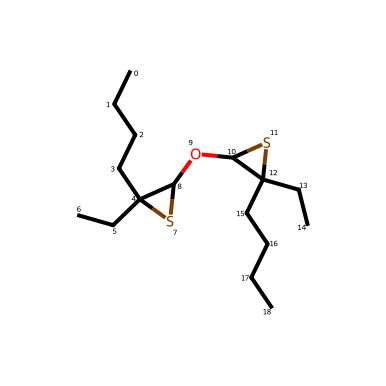 CCCCC1(CC)SC1OC1SC1(CC)CCCC